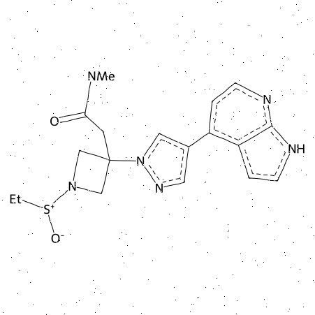 CC[S+]([O-])N1CC(CC(=O)NC)(n2cc(-c3ccnc4[nH]ccc34)cn2)C1